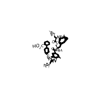 CCCc1nc2c(C)cc(C(=O)N[C@@H](CSC(=O)[C@@H](N)CC(C)C)Cc3ccccc3)cc2n1Cc1ccc(-c2ccccc2C(=O)O)cc1